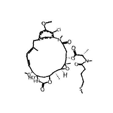 COc1cc2cc(c1Cl)N(C)C(=O)C[C@H](OC(=O)[C@H](C)N(C)C(=O)CCCSC)[C@]1(C)O[C@H]1[C@H](C)C1C[C@@](O)(NC(=O)O1)[C@H](OC)/C=C/C=C(\C)C2